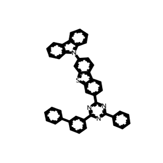 c1ccc(-c2cccc(-c3nc(-c4ccccc4)nc(-c4ccc5c(c4)sc4cc(-n6c7ccccc7c7ccccc76)ccc45)n3)c2)cc1